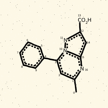 Cc1cc(-c2ccccc2)n2nc(C(=O)O)cc2n1